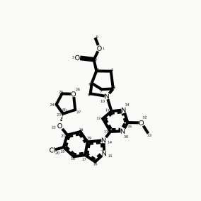 COC(=O)C1CC2CC1CN2c1cc(-n2ncc3cc(Cl)c(O[C@@H]4CCOC4)cc32)nc(OC)n1